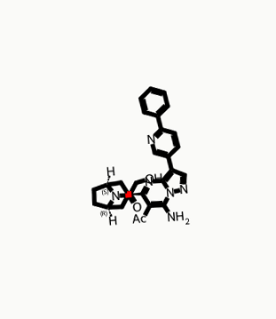 CC(=O)c1c([C@H]2C[C@H]3CC[C@@H](C2)N3C(=O)CO)nc2c(-c3ccc(-c4ccccc4)nc3)cnn2c1N